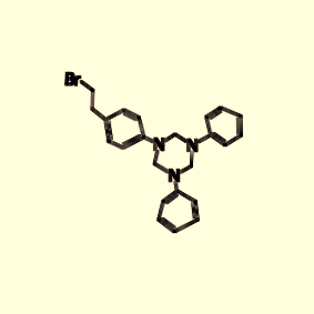 BrCCc1ccc(N2CN(c3ccccc3)CN(c3ccccc3)C2)cc1